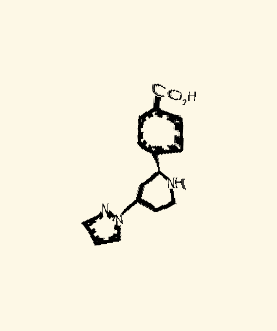 O=C(O)c1ccc([C@@H]2CC(n3cccn3)CCN2)cc1